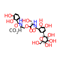 O=C(N[C@@H](COC(=O)[C@H](CO)NC(=O)c1cc([C@@H]2O[C@H](CO)[C@@H](O)[C@H](O)[C@H]2O)cc(O)c1O)C(=O)O)c1cccc(O)c1O